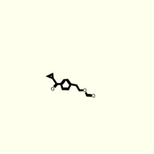 O=COCCc1ccc(C(=O)C2CC2)cc1